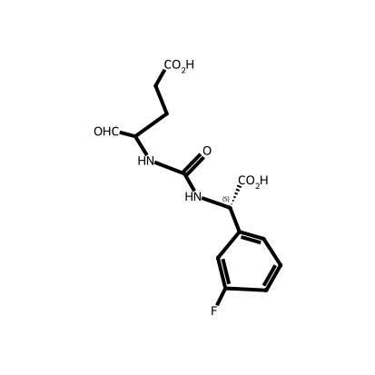 O=CC(CCC(=O)O)NC(=O)N[C@H](C(=O)O)c1cccc(F)c1